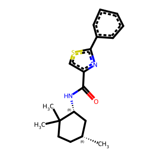 C[C@@H]1CCC(C)(C)[C@H](NC(=O)c2csc(-c3ccccc3)n2)C1